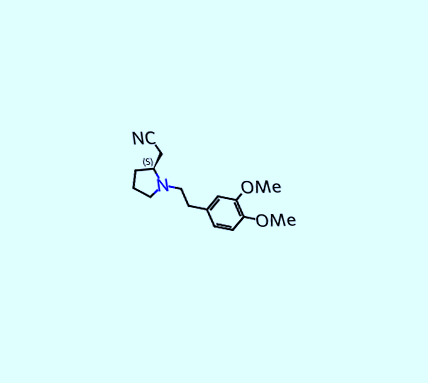 COc1ccc(CCN2CCC[C@H]2CC#N)cc1OC